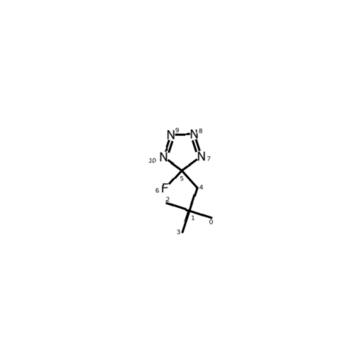 CC(C)(C)CC1(F)N=NN=N1